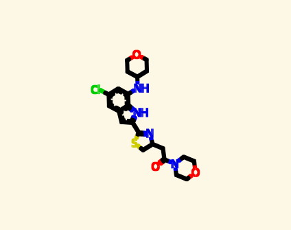 O=C(CC1CSC(c2cc3cc(Cl)cc(NC4CCOCC4)c3[nH]2)=N1)N1CCOCC1